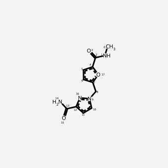 CNC(=O)c1ccc(Cn2c[c]c(C(N)=O)n2)o1